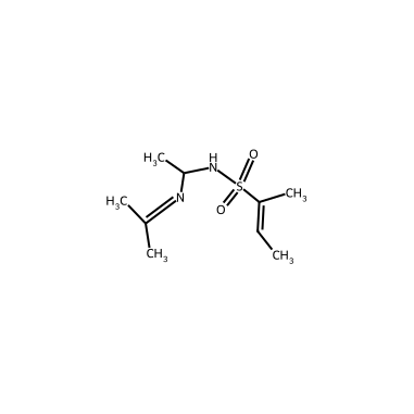 C/C=C(\C)S(=O)(=O)NC(C)N=C(C)C